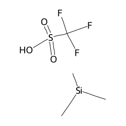 C[Si](C)C.O=S(=O)(O)C(F)(F)F